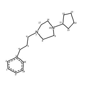 c1ccc(CCCN2CCN(C3CCCC3)CC2)cc1